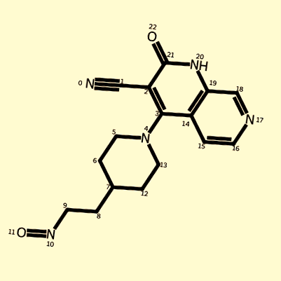 N#Cc1c(N2CCC(CCN=O)CC2)c2ccncc2[nH]c1=O